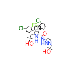 CC(C)(O)Cn1ccc(NC(=O)[C@@H]2N[C@@H](CC(C)(C)CO)[C@](C#N)(c3ccc(Cl)cc3F)[C@H]2c2cccc(Cl)c2F)n1